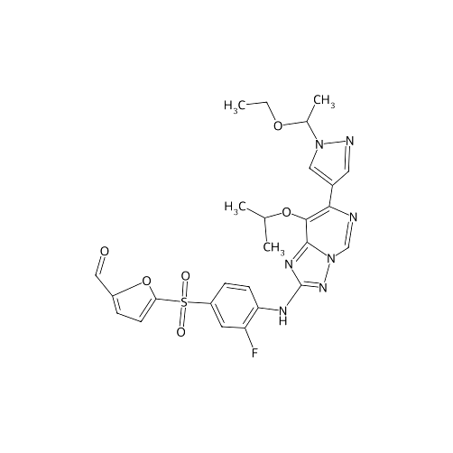 CCOC(C)n1cc(-c2ncn3nc(Nc4ccc(S(=O)(=O)c5ccc(C=O)o5)cc4F)nc3c2OC(C)C)cn1